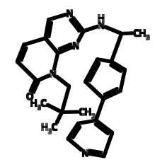 CC(Nc1ncc2ccc(=O)n(CC(C)(C)C)c2n1)c1ccc(-c2ccncc2)cc1